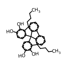 CCCCCc1c(C2(c3ccc(O)c(O)c3CCCCC)c3ccccc3-c3ccccc32)ccc(O)c1O